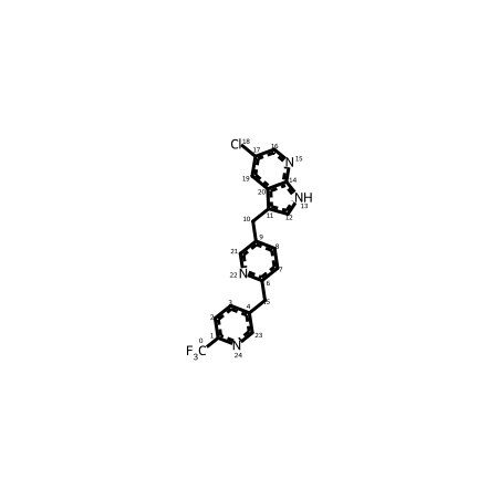 FC(F)(F)c1ccc([CH]c2ccc(Cc3c[nH]c4ncc(Cl)cc34)cn2)cn1